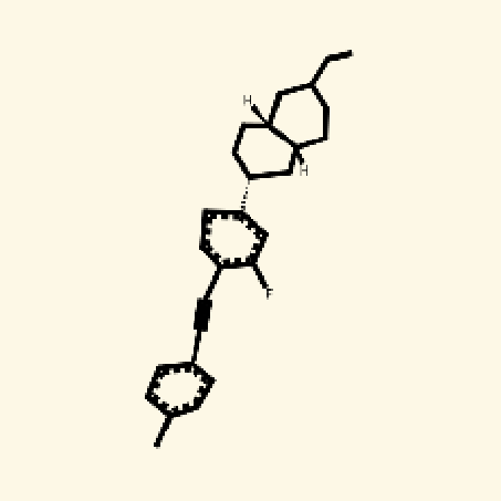 CCC1CC[C@@H]2C[C@H](c3ccc(C#Cc4ccc(C)cc4)c(F)c3)CC[C@@H]2C1